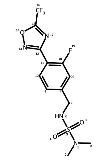 CN(C)S(=O)(=O)NCc1ccc(-c2noc(C(F)(F)F)n2)c(F)c1